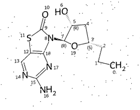 [CH2]CC[C@H]1C[C@@H](O)[C@H](n2c(=O)sc3cnc(N)nc32)O1